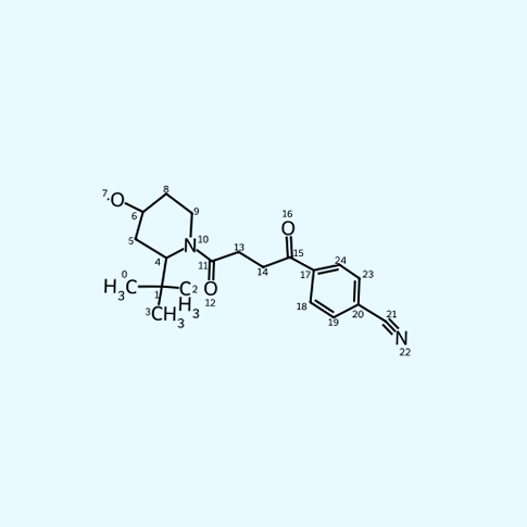 CC(C)(C)C1CC([O])CCN1C(=O)CCC(=O)c1ccc(C#N)cc1